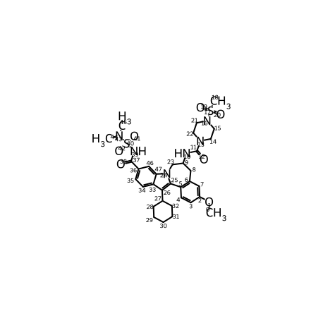 COc1ccc2c(c1)CC(NC(=O)N1CCN(S(C)(=O)=O)CC1)Cn1c-2c(C2CCCCC2)c2ccc(C(=O)NS(=O)(=O)N(C)C)cc21